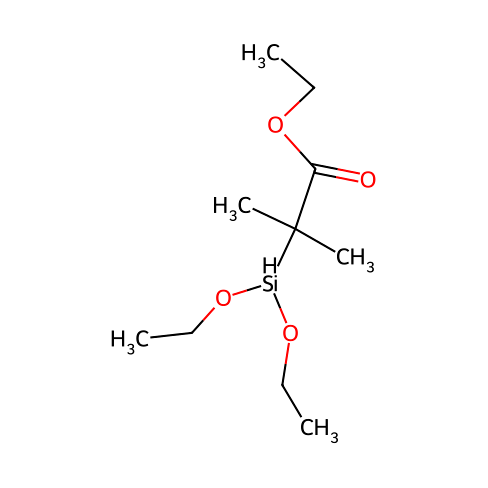 CCOC(=O)C(C)(C)[SiH](OCC)OCC